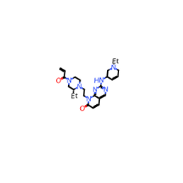 C=CC(=O)N1CCN(CCn2c(=O)ccc3cnc(NC4C=CCN(CC)C4)nc32)[C@@H](CC)C1